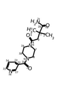 CC(C)(CC(=O)N1CCN(C(=O)c2cccnc2)CC1)C(N)=O